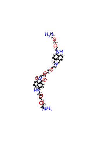 NCCOCCOCCNc1ccc2c3c(cccc13)CN(CCOCCOCCN1C(=O)c3cccc4c(NCCOCCOCCN)ccc(c34)C1=O)C2